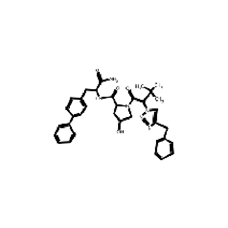 CC(C)(C)C(C(=O)N1CC(O)CC1C(=O)NC(Cc1ccc(-c2ccccc2)cc1)C(N)=O)n1cc(Cc2ccccc2)nn1